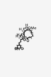 COC1/C=C/CC/C=C/C(=O)O[C@H](C(C)C(=O)CCCC2CC(=O)NC(=O)C2)/C(C)=C\C(C)[C@@H]1O